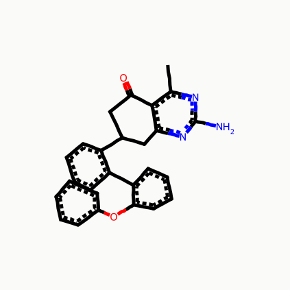 Cc1nc(N)nc2c1C(=O)CC(c1ccccc1-c1ccccc1Oc1ccccc1)C2